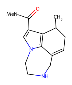 CNC(=O)c1cn2c3c1C(C)CC=C3CNCC2